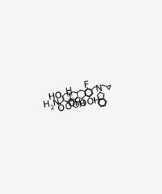 NC(=O)C1=C(O)C[C@@H]2CC3Cc4c(F)c(CN(CC5CC5)C5Cc6ccccc6C5)cc(O)c4C(=O)C3=C(O)[C@]2(O)C1=O